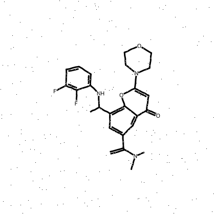 C=C(c1cc(C(C)Nc2cccc(F)c2F)c2oc(N3CCOCC3)cc(=O)c2c1)N(C)C